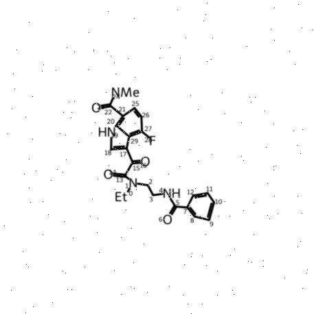 CCN(CCNC(=O)c1ccccc1)C(=O)C(=O)c1c[nH]c2c(C(=O)NC)ccc(F)c12